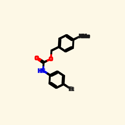 CCc1ccc(NC(=O)OCc2ccc(NC)cc2)cc1